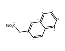 CCOC(=O)Cc1ccc2ncccc2c1